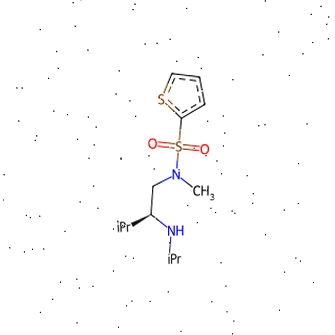 CC(C)N[C@H](CN(C)S(=O)(=O)c1cccs1)C(C)C